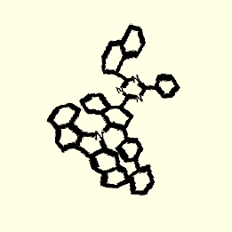 c1ccc(-c2ccc(-c3cc(-c4nc(-c5ccccc5)nc(-c5cccc6ccccc56)n4)c4ccccc4c3-n3c4cc5ccccc5cc4c4ccc5ccccc5c43)cc2)cc1